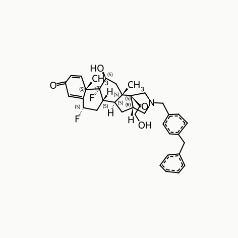 C[C@]12C=CC(=O)C=C1[C@@H](F)C[C@H]1[C@@H]3C[C@H]4CN(Cc5ccc(Cc6ccccc6)cc5)C[C@@]4(C(=O)CO)[C@@]3(C)C[C@H](O)[C@@]12F